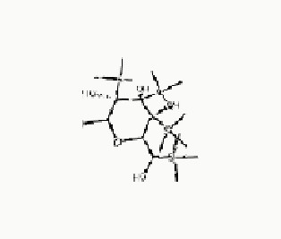 C[Si](C)(C)C(O)[C@H]1OC(I)[C@@](O)([Si](C)(C)C)[C@](O)([Si](C)(C)C)[C@]1(O)[Si](C)(C)C